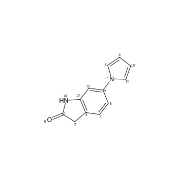 O=C1Cc2ccc(-n3cccc3)cc2N1